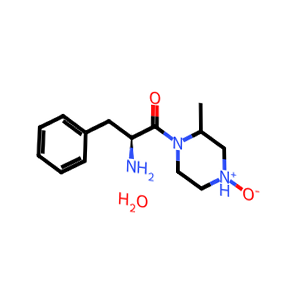 CC1C[NH+]([O-])CCN1C(=O)[C@@H](N)Cc1ccccc1.O